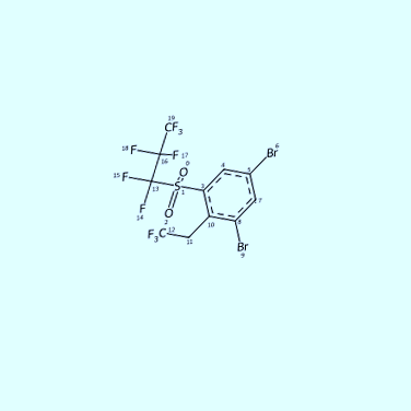 O=S(=O)(c1cc(Br)[c]c(Br)c1CC(F)(F)F)C(F)(F)C(F)(F)C(F)(F)F